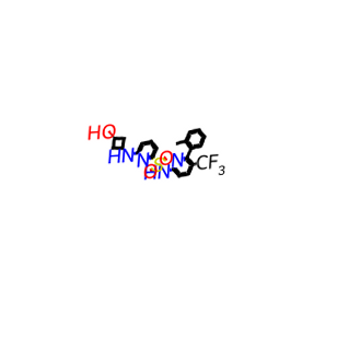 Cc1ccccc1-c1nc(NS(=O)(=O)c2cccc(N[C@H]3C[C@H](O)C3)n2)ccc1C(F)(F)F